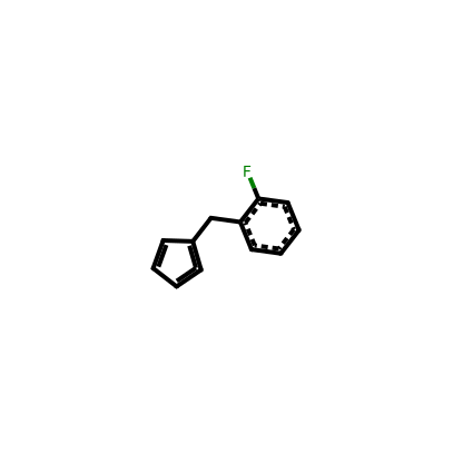 Fc1ccccc1CC1=C=CC=C1